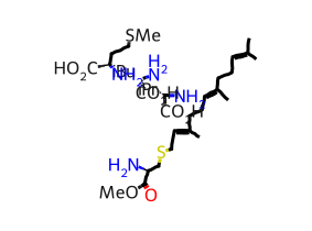 CC(C)[C@H](N)C(=O)O.CC[C@H](C)[C@H](N)C(=O)O.COC(=O)[C@@H](N)CSC/C=C(\C)CC/C=C(\C)CCC=C(C)C.CSCC[C@@H](N)C(=O)O